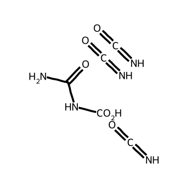 N=C=O.N=C=O.N=C=O.NC(=O)NC(=O)O